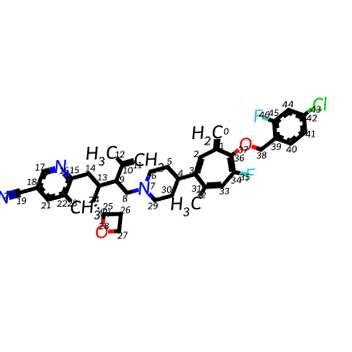 C=C1C=C(C2CCN(CC(C(=C)C)C(Cc3ncc(C#N)cc3C)C[C@@H]3CCO3)CC2)C(C)=CC(F)=C1OCc1ccc(Cl)cc1F